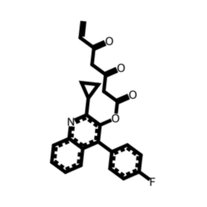 C=CC(=O)CC(=O)CC(=O)Oc1c(C2CC2)nc2ccccc2c1-c1ccc(F)cc1